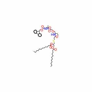 CCCCCCCCCCCC(=O)OCC(CSCCC(=O)NC(CC)COCC(=O)OC(C)(C)CNC(=O)OCC1c2ccccc2-c2ccccc21)OC(=O)CCCCCCCCCCC